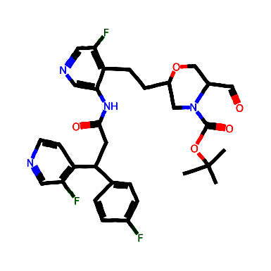 CC(C)(C)OC(=O)N1CC(CCc2c(F)cncc2NC(=O)CC(c2ccc(F)cc2)c2ccncc2F)OCC1C=O